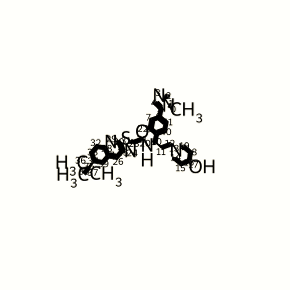 Cn1cncc1-c1ccc([C@@H](CCN2CCC(O)CC2)NC(=O)c2nc3cc4c(nc3s2)CC[C@H](C(C)(C)C)C4)cc1